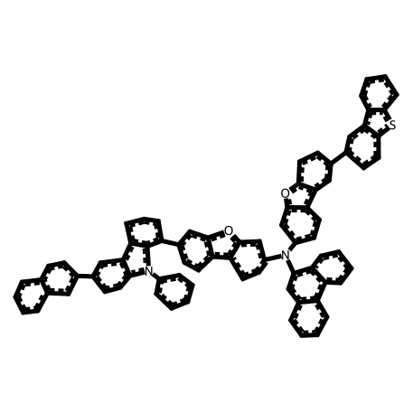 c1ccc(-n2c3ccc(-c4ccc5ccccc5c4)cc3c3cccc(-c4ccc5c(c4)oc4cc(N(c6ccc7c(c6)oc6ccc(-c8ccc9sc%10ccccc%10c9c8)cc67)c6cc7ccccc7c7ccccc67)ccc45)c32)cc1